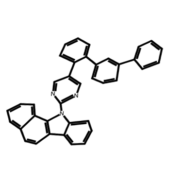 c1ccc(-c2cccc(-c3ccccc3-c3cnc(-n4c5ccccc5c5ccc6ccccc6c54)nc3)c2)cc1